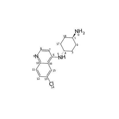 N[C@H]1CC[C@H](Nc2[c]cnc3ccc(Cl)cc23)CC1